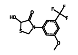 COc1cc(N2CSC(O)C2=O)cc(C(F)(F)F)c1